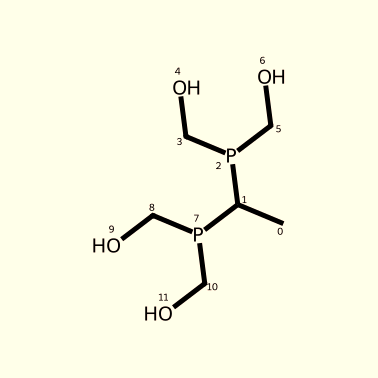 CC(P(CO)CO)P(CO)CO